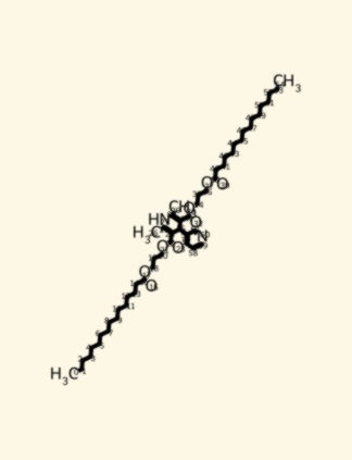 CCCCCCCCCCCCCCCC(=O)OCCCOC(=O)C1=C(C)NC(C)=C(C(=O)OCCCOC(=O)CCCCCCCCCCCCCCC)C1c1cccnc1